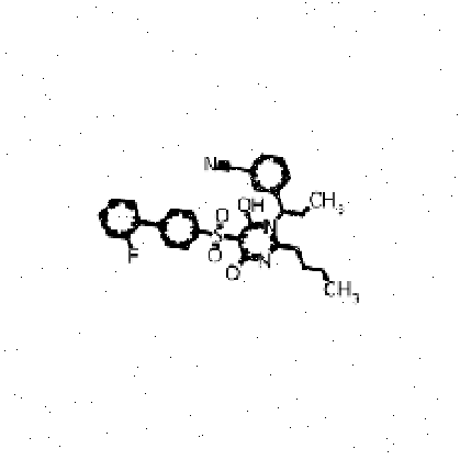 CCCCc1nc(=O)c(S(=O)(=O)c2ccc(-c3ccccc3F)cc2)c(O)n1C(CC)c1cccc(C#N)c1